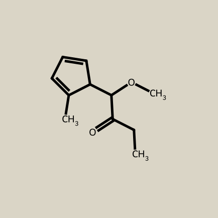 CCC(=O)C(OC)C1C=CC=C1C